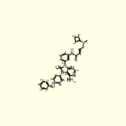 CN(C/C=C/C(=O)Nc1cccc(-n2c(=O)n(-c3ccc(Oc4ccccc4)cc3)c3c(N)ncnc32)c1)C1CCC1